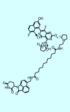 C#Cc1c(F)ccc2cc(O)cc(-c3ncc4c(N5C[C@H]6CC[C@@H](C5)N6)nc(OC[C@@H]5CCCN5CCNC(=O)CCCCCCCCCCC(=O)NCc5ccc6c7c(cccc57)C(=O)N6C5CCC(=O)NC5=O)nc4c3F)c12